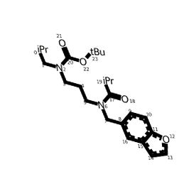 CC(C)CN(CCCN(Cc1ccc2occc2c1)C(=O)C(C)C)C(=O)OC(C)(C)C